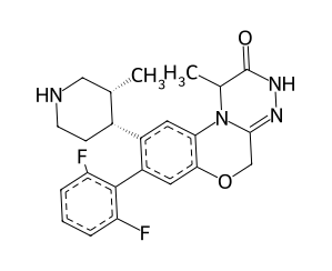 CC1C(=O)NN=C2COc3cc(-c4c(F)cccc4F)c([C@@H]4CCNC[C@@H]4C)cc3N21